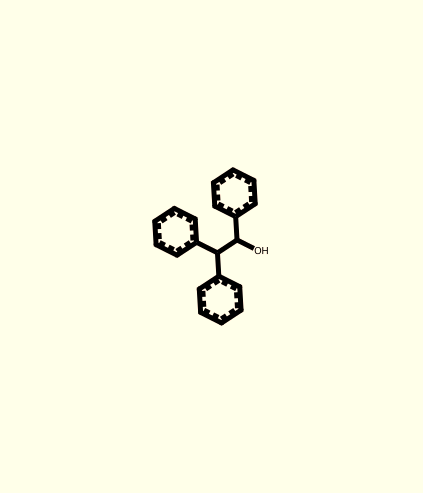 OC(c1ccccc1)C(c1ccccc1)c1ccccc1